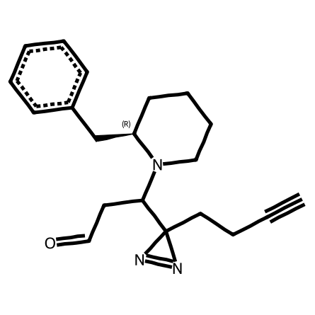 C#CCCC1(C(CC=O)N2CCCC[C@@H]2Cc2ccccc2)N=N1